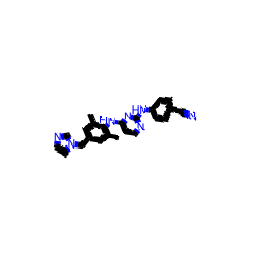 Cc1cc(Cn2ccnc2)cc(C)c1Nc1ccnc(Nc2ccc(C#N)cc2)n1